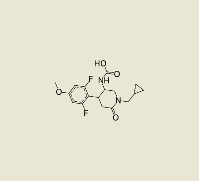 COc1cc(F)c(C2CC(=O)N(CC3CC3)CC2NC(=O)O)c(F)c1